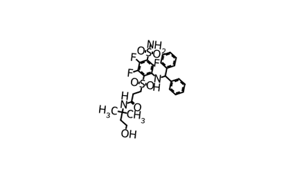 CC(C)(CCO)NC(=O)CCS(=O)(=O)c1c(F)c(F)c(S(N)(=O)=O)c(F)c1NC(c1ccccc1)c1ccccc1